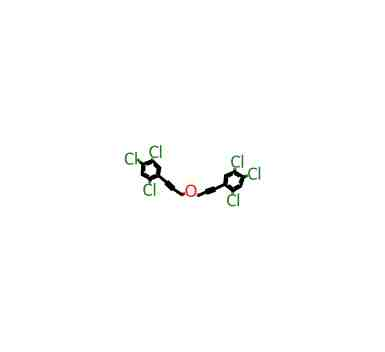 Clc1cc(Cl)c(C#CCOCC#Cc2cc(Cl)c(Cl)cc2Cl)cc1Cl